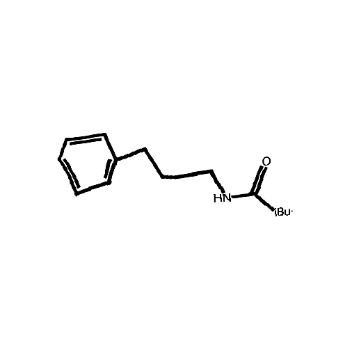 CC[C](C)C(=O)NCCCc1ccccc1